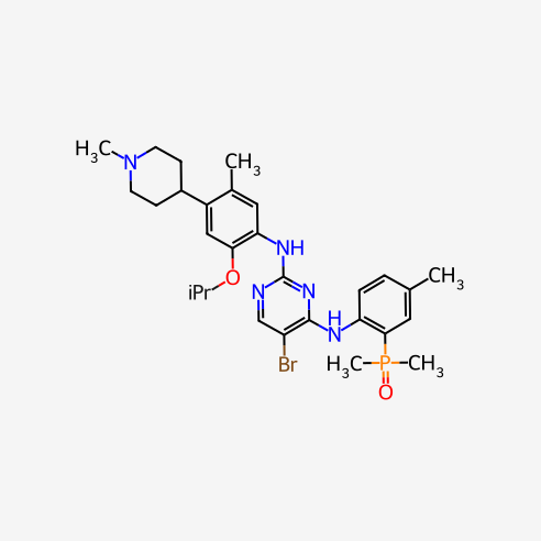 Cc1ccc(Nc2nc(Nc3cc(C)c(C4CCN(C)CC4)cc3OC(C)C)ncc2Br)c(P(C)(C)=O)c1